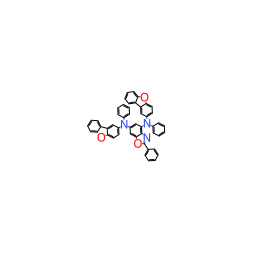 c1ccc(-c2nc3c(N(c4ccccc4)c4ccc5oc6ccccc6c5c4)cc(N(c4ccccc4)c4ccc5oc6ccccc6c5c4)cc3o2)cc1